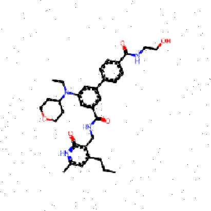 CCCc1cc(C)[nH]c(=O)c1CNC(=O)c1cc(-c2ccc(C(=O)NCCO)cc2)cc(N(CC)C2CCOCC2)c1